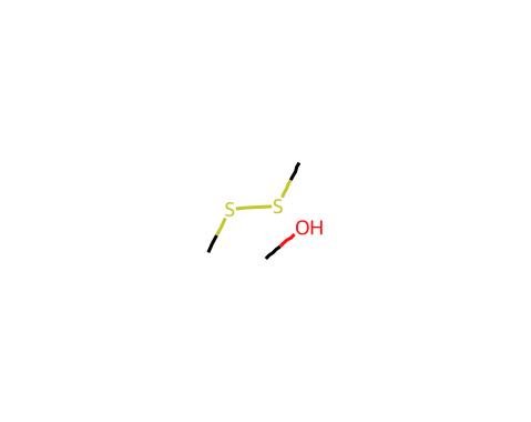 CO.CSSC